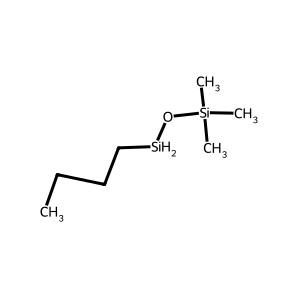 CCCC[SiH2]O[Si](C)(C)C